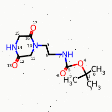 CC(C)(C)OC(=O)NCCN1CC(=O)NCC1=O